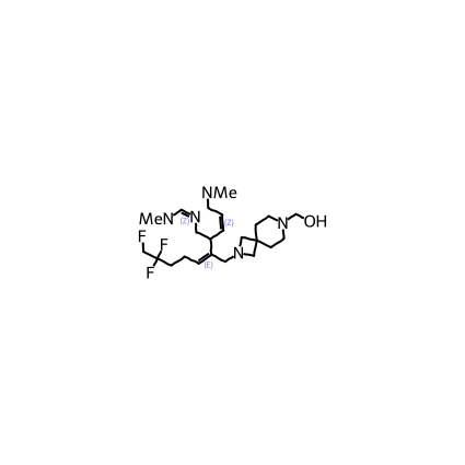 CN/C=N\CC(/C=C\CNC)/C(=C\CCC(F)(F)CF)CN1CC2(CCN(CO)CC2)C1